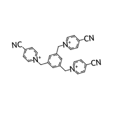 N#Cc1cc[n+](Cc2cc(C[n+]3ccc(C#N)cc3)cc(C[n+]3ccc(C#N)cc3)c2)cc1